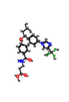 COC(=O)CCNC(=O)c1ccc(OC(CC(C)C)c2ccc(-n3cnc(C(F)(F)F)c3)cc2)cc1